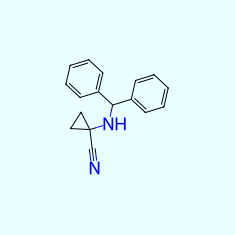 N#CC1(NC(c2ccccc2)c2ccccc2)CC1